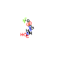 O=C(O)N1C[C@@H]2CN(c3cccc4cc(S(=O)(=O)c5cccc(C(F)(F)F)c5)cnc34)C[C@@H]2C1